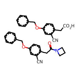 N#Cc1cc(OCc2ccccc2)ccc1CC(=O)N1CCC1.N#Cc1cc(OCc2ccccc2)ccc1CC(=O)O